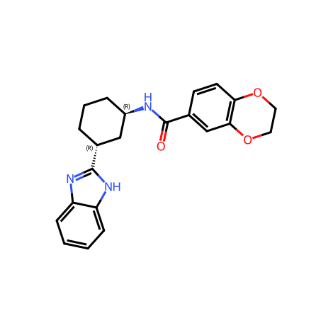 O=C(N[C@@H]1CCC[C@@H](c2nc3ccccc3[nH]2)C1)c1ccc2c(c1)OCCO2